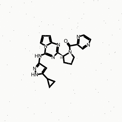 O=C(c1cnccn1)N1CCC[C@H]1c1nc(Nc2cc(C3CC3)[nH]n2)n2cccc2n1